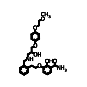 COCCOc1ccc(OCC(O)CNCc2ccccc2CCOc2cccc(C(N)=O)c2O)cc1